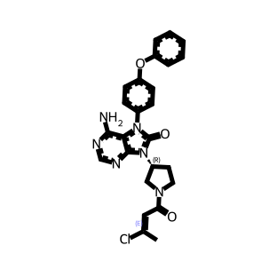 C/C(Cl)=C\C(=O)N1CC[C@@H](n2c(=O)n(-c3ccc(Oc4ccccc4)cc3)c3c(N)ncnc32)C1